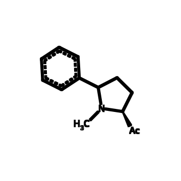 CC(=O)[C@@H]1CCC(c2ccccc2)N1C